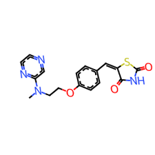 CN(CCOc1ccc(C=C2SC(=O)NC2=O)cc1)c1cnccn1